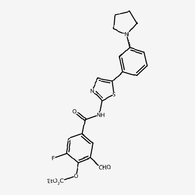 CCOC(=O)Oc1c(F)cc(C(=O)Nc2ncc(-c3cccc(N4CCCC4)c3)s2)cc1C=O